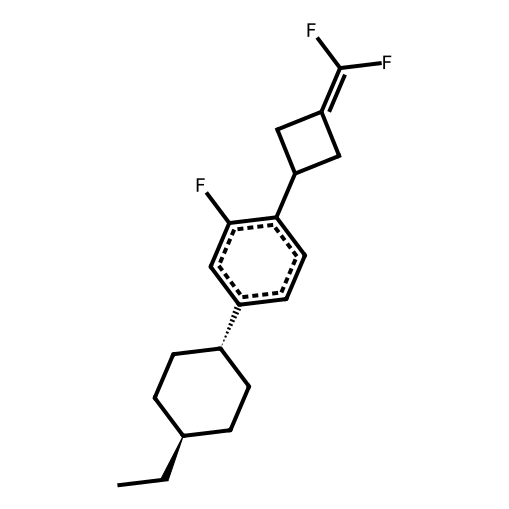 CC[C@H]1CC[C@H](c2ccc(C3CC(=C(F)F)C3)c(F)c2)CC1